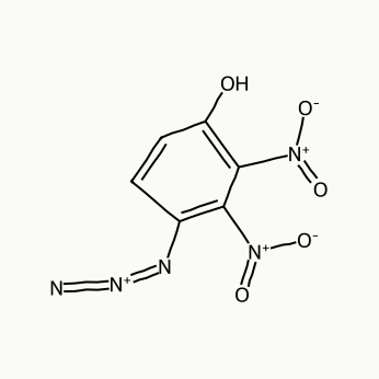 [N-]=[N+]=Nc1ccc(O)c([N+](=O)[O-])c1[N+](=O)[O-]